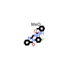 COc1cccc(NC(=O)NCc2nc3ccccc3c(=O)n2-c2ccc(F)cc2)c1C